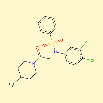 CC1CCN(C(=O)CN(c2ccc(Cl)c(Cl)c2)S(=O)(=O)c2ccccc2)CC1